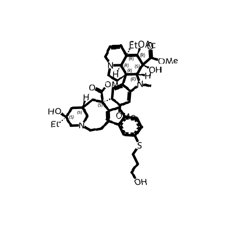 CC[C@]1(O)C[C@H]2CN(CCC3=C(Cc4ccc(SCCCO)cc43)[C@@](C(=O)OC)(C3C=C4C(=CC3OC)N(C)[C@H]3[C@@](O)(C(=O)OC)[C@H](OC(C)=O)[C@]5(CC)C=CCN6CC[C@]43[C@@H]65)C2)C1